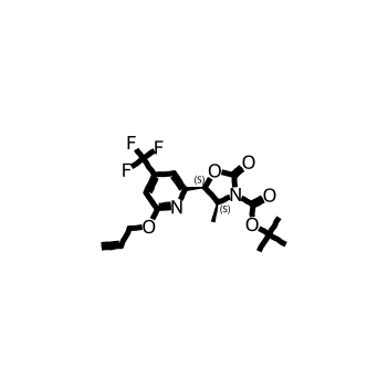 C=CCOc1cc(C(F)(F)F)cc([C@H]2OC(=O)N(C(=O)OC(C)(C)C)[C@H]2C)n1